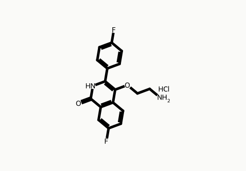 Cl.NCCOc1c(-c2ccc(F)cc2)[nH]c(=O)c2cc(F)ccc12